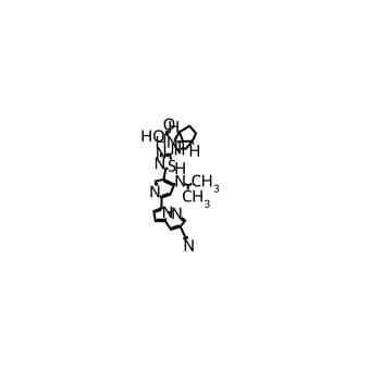 CC(C)Nc1cc(-c2ccc3cc(C#N)cnn23)ncc1-c1nnc(N2C[C@H]3CC[C@@H](C2)[C@H]3NC(=O)O)s1